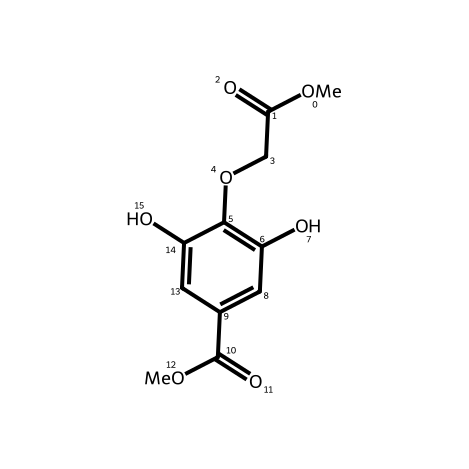 COC(=O)COc1c(O)cc(C(=O)OC)cc1O